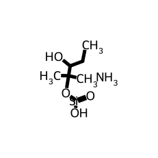 CCC(O)C(C)(C)O[Si](=O)O.N